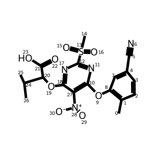 Cc1ccc(C#N)cc1Oc1nc(S(C)(=O)=O)nc(OC(C(=O)O)C(C)C)c1[N+](=O)[O-]